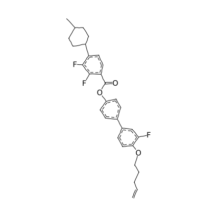 C=CCCCOc1ccc(-c2ccc(OC(=O)c3ccc(C4CCC(C)CC4)c(F)c3F)cc2)cc1F